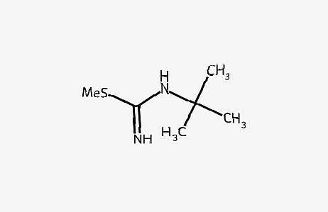 CSC(=N)NC(C)(C)C